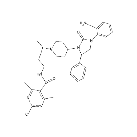 Cc1cc(Cl)nc(C)c1C(=O)NCCC(C)N1CCC(N2C(=O)N(c3ccccc3N)CC2c2ccccc2)CC1